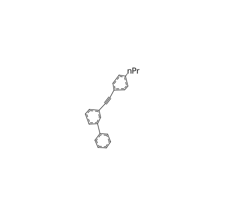 CCCc1ccc(C#Cc2cccc(-c3ccccc3)c2)cc1